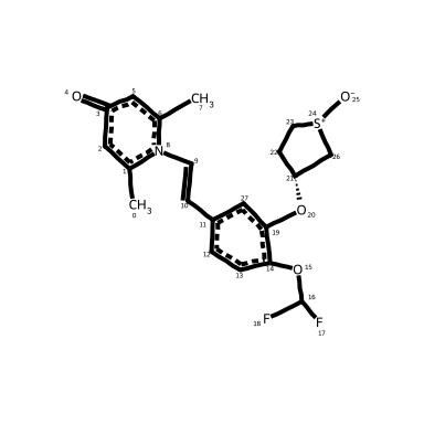 Cc1cc(=O)cc(C)n1/C=C/c1ccc(OC(F)F)c(O[C@@H]2CC[S+]([O-])C2)c1